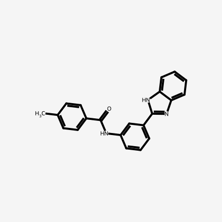 Cc1ccc(C(=O)Nc2cccc(-c3nc4ccccc4[nH]3)c2)cc1